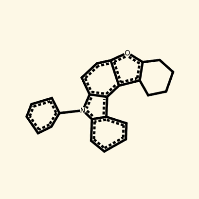 c1ccc(-n2c3ccccc3c3c4c5c(oc4ccc32)CCCC5)cc1